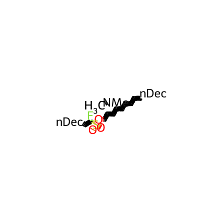 CCCCCCCCCCCCCCCCCCCOS(=O)(=O)C(F)CCCCCCCCCCC.CNC